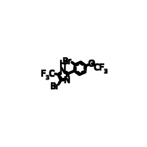 FC(F)(F)Oc1ccc(-c2nc(Br)c(C(F)(F)F)[nH]2)c(Br)c1